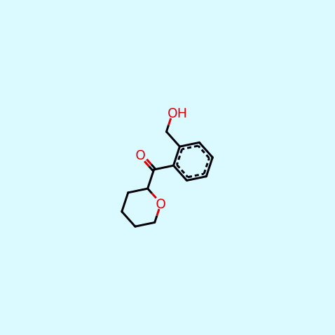 O=C(c1ccccc1CO)C1CCCCO1